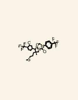 CSCCCC1(C)CN(C(=O)N(C=O)c2ccc(C(F)(F)F)cc2)N=C1c1ccc(C(F)(F)F)c(Cl)c1